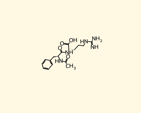 CC(=O)N[C@@H](Cc1ccccc1)C(=O)N[C@@H](CCCNC(=N)N)C(=O)O